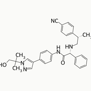 C[C@H](CN[C@@H](C(=O)Nc1ccc(-c2cnn(C(C)(C)CO)c2)cc1)c1ccccc1)c1ccc(C#N)cc1